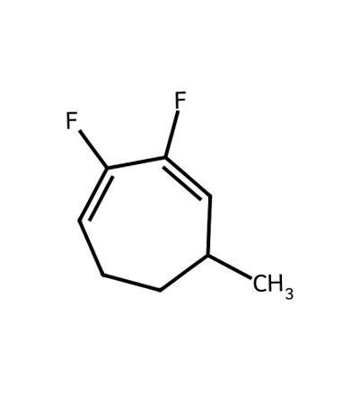 CC1C=C(F)C(F)=CCC1